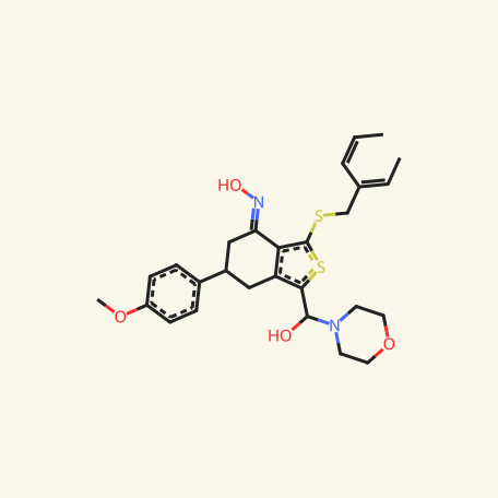 C/C=C\C(=C/C)CSc1sc(C(O)N2CCOCC2)c2c1/C(=N/O)CC(c1ccc(OC)cc1)C2